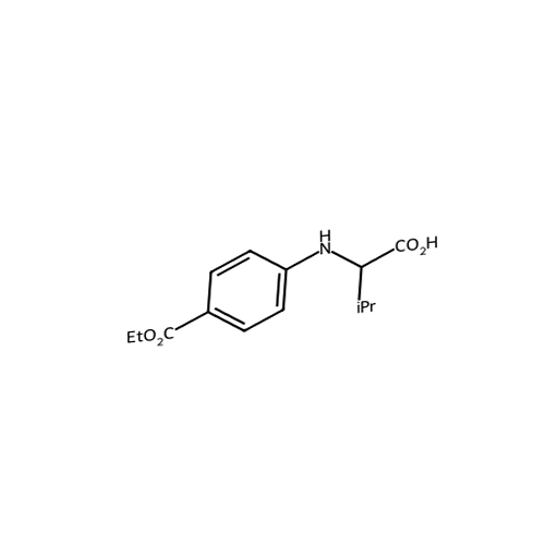 CCOC(=O)c1ccc(NC(C(=O)O)C(C)C)cc1